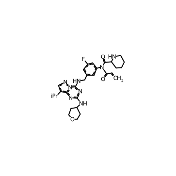 C=CC(=O)N(C(=O)C1CCCCN1)c1cc(F)cc(CNc2nc(NC3CCOCC3)nc3c(C(C)C)cnn23)c1